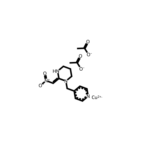 CC(=O)[O-].CC(=O)[O-].O=[N+]([O-])C=C1NCCCN1Cc1ccncc1.[Cu+2]